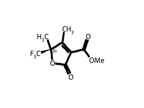 COC(=O)C1=C(C)[C@](C)(C(F)(F)F)OC1=O